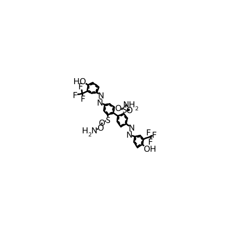 NOOSc1cc(N=Nc2ccc(O)c(C(F)(F)F)c2)ccc1-c1ccc(N=Nc2ccc(O)c(C(F)(F)F)c2)cc1S(N)(=O)=O